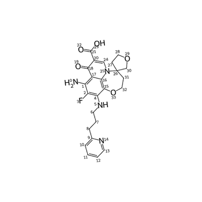 Nc1c(F)c(NCCCc2ccccn2)c2c3c1c(=O)c(C(=O)O)cn3C1(CCOC1)CCO2